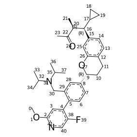 COc1cc(-c2ccc([C@H]3CCc4ccc([C@H](C5CC5)[C@H](C)C(C)=O)cc4O3)cc2CN(C(C)C)C(C)C)c(F)cn1